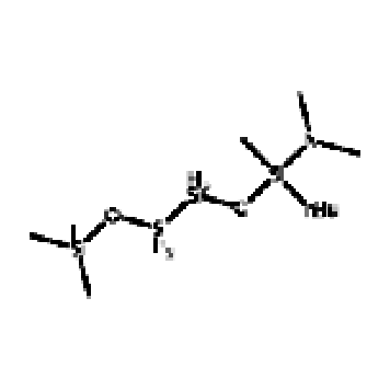 CCCC[Si](C)(O[SiH2][SiH2]O[SiH](C)C)N(C)C